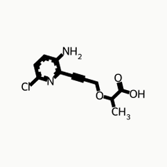 CC(OCC#Cc1nc(Cl)ccc1N)C(=O)O